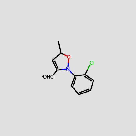 CC1C=C([C]=O)N(c2ccccc2Cl)O1